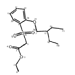 CCOC(=O)CS(=O)(=O)c1ccccc1OCC(CC)CC